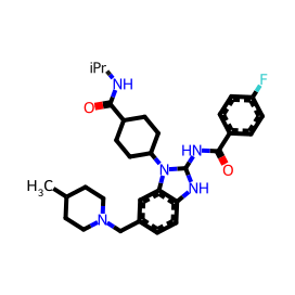 CC1CCN(Cc2ccc3c(c2)N(C2CCC(C(=O)NC(C)C)CC2)C(NC(=O)c2ccc(F)cc2)N3)CC1